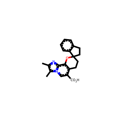 Cc1nc2c3c(c(C(=O)O)cn2c1C)CCC1(CCc2ccccc21)O3